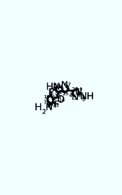 CNc1ncc(-c2cnc3[nH]cc(C(=O)c4c(F)ccc(N)c4F)c3c2)cn1